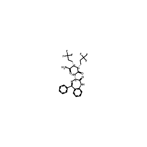 NC(=O)[C@H](CCC(F)(F)F)[C@H](CCC(F)(F)F)C(=O)N[C@H]1N=C(c2ccccc2)c2ccccc2NC1=O